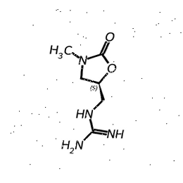 CN1C[C@H](CNC(=N)N)OC1=O